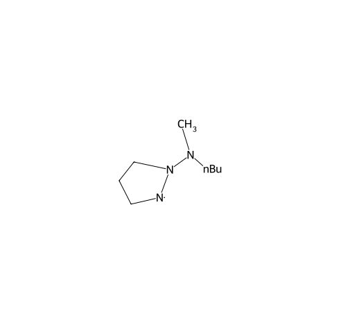 CCCCN(C)N1CCC[N]1